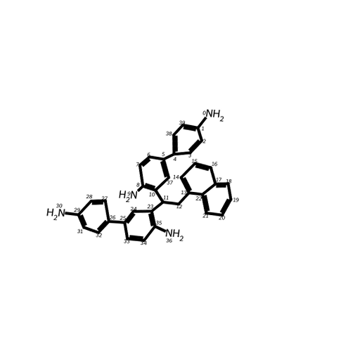 Nc1ccc(-c2ccc(N)c(C(Cc3cccc4ccccc34)c3cc(-c4ccc(N)cc4)ccc3N)c2)cc1